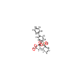 O=C1CC(c2ccccc2S(=O)(=O)c2ccc(-c3ccccc3)cc2)C(=O)O1